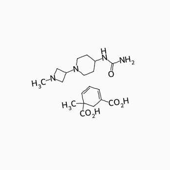 CC1(C(=O)O)C=CC=C(C(=O)O)C1.CN1CC(N2CCC(NC(N)=O)CC2)C1